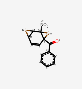 O=C(c1ccccc1)C12C=CC3SC3C1([N+](=O)[O-])S2